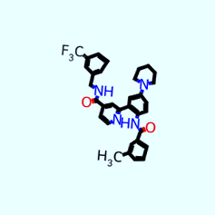 Cc1cccc(C(=O)Nc2ccc(N3CCCCC3)cc2-c2cc(C(=O)NCc3cccc(C(F)(F)F)c3)ccn2)c1